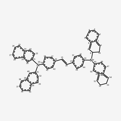 C1=c2ccccc2=CC(N(c2ccc(/C=C/c3ccc(N(c4ccc5ccccc5c4)c4ccc5ccccc5c4)cc3)cc2)c2ccc3c(c2)=CCCC=3)C1